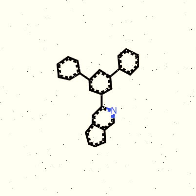 c1ccc(-c2cc(-c3ccccc3)cc(-c3cc4ccccc4cn3)c2)cc1